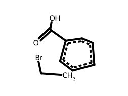 CCBr.O=C(O)c1ccccc1